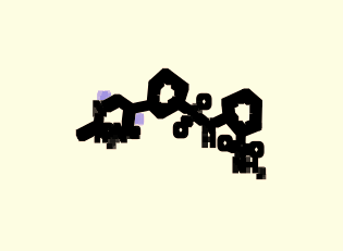 C=C(/N=C\C(=C/N)c1cccc(S(=O)(=O)Nc2ccccc2S(N)(=O)=O)c1)OC